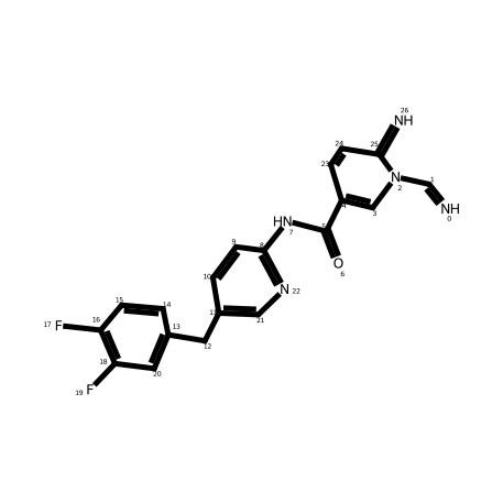 N=Cn1cc(C(=O)Nc2ccc(Cc3ccc(F)c(F)c3)cn2)ccc1=N